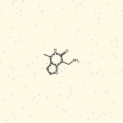 Cc1[nH]c(=O)c(CN)c2occc12